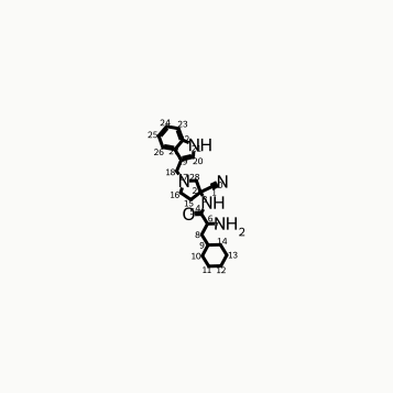 N#CC1(NC(=O)C(N)CC2CCCCC2)CCN(Cc2c[nH]c3ccccc23)C1